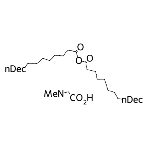 CCCCCCCCCCCCCCCCCC(=O)OC(=O)CCCCCCCCCCCCCCCCC.CNCC(=O)O